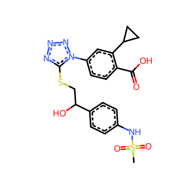 CS(=O)(=O)Nc1ccc(C(O)CSc2nnnn2-c2ccc(C(=O)O)c(C3CC3)c2)cc1